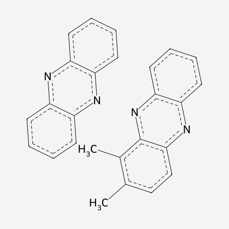 Cc1ccc2nc3ccccc3nc2c1C.c1ccc2nc3ccccc3nc2c1